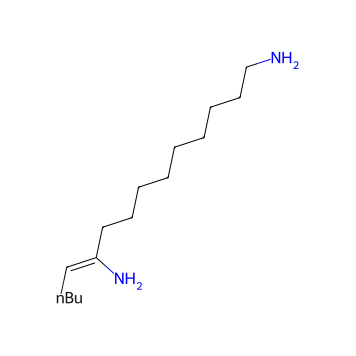 CCCCC=C(N)CCCCCCCCCN